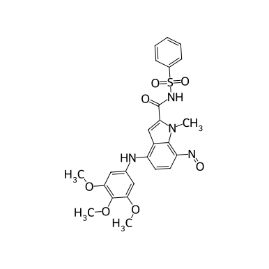 COc1cc(Nc2ccc(N=O)c3c2cc(C(=O)NS(=O)(=O)c2ccccc2)n3C)cc(OC)c1OC